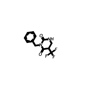 O=C1NCC(C(F)(F)F)C(=O)N1Cc1ccccc1